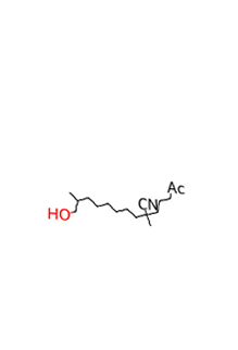 CC(=O)CCCC(C)(C#N)CCCCCCC(C)CO